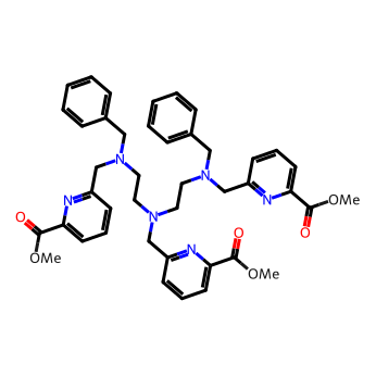 COC(=O)c1cccc(CN(CCN(Cc2ccccc2)Cc2cccc(C(=O)OC)n2)CCN(Cc2ccccc2)Cc2cccc(C(=O)OC)n2)n1